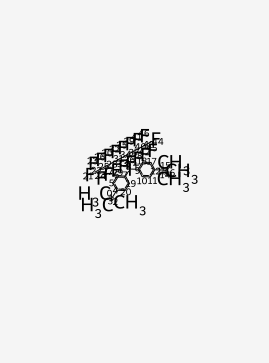 CC(C)(C)c1ccc([I+]c2ccc(C(C)(C)C)cc2)cc1.FC(F)(F)C(F)(F)C(F)(F)C(F)(F)C(F)(F)C(F)(F)C(F)(F)C(F)(F)F